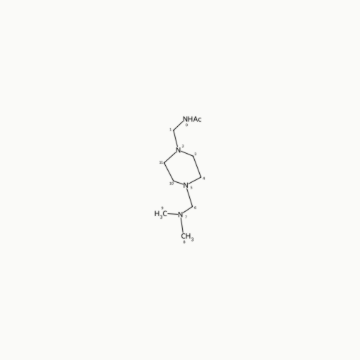 CC(=O)NCN1CCN(CN(C)C)CC1